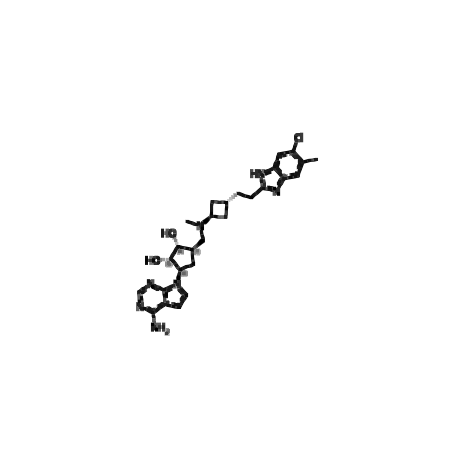 Cc1cc2nc(CC[C@H]3C[C@H](N(C)C[C@H]4C[C@@H](n5ccc6c(N)ncnc65)[C@H](O)[C@@H]4O)C3)[nH]c2cc1Cl